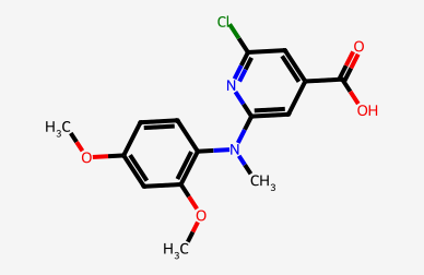 COc1ccc(N(C)c2cc(C(=O)O)cc(Cl)n2)c(OC)c1